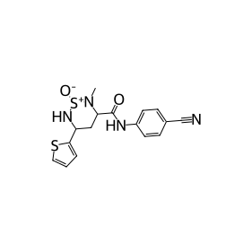 CN1C(C(=O)Nc2ccc(C#N)cc2)CC(c2cccs2)N[S+]1[O-]